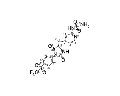 CC(c1ccnc(NS(N)(=O)=O)c1)C1NC(=O)N(c2ccc(S(=O)(=O)C(F)(F)F)cc2)C1=O